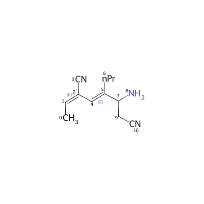 C/C=C(C#N)\C=C(/CCC)C(N)CC#N